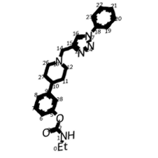 CCNC(=O)Oc1cccc(C2CCN(Cc3cn(-c4ccccc4)nn3)CC2)c1